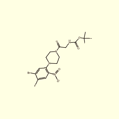 CC(C)(C)OC(=O)NCC(=O)N1CCN(c2cc(Br)c(F)cc2[N+](=O)[O-])CC1